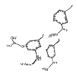 CCCCCCNc1cccc(F)c1.CCCCCCNc1cccc(F)c1.CCCCCCNc1cccc(F)c1.OB(O)O